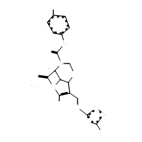 Cc1nnc(SCC2=C(C(=O)[O-])N3C(=O)[C@@H]4[C@H]3C2OCN4C(=O)Nc2ccc(O)cc2)s1.[Na+]